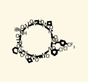 CC[C@H](C)[C@@H]1NC(=O)[C@H](C)N(C)C(=O)C[C@@H](C(=O)N2CCCCC2)N(C)C(=O)[C@H](C2CCC2)N(C)C(=O)C(C)(C)N(C)C(=O)CN(c2cccc(Cl)c2)C(=O)[C@H](CCc2ccc(C(F)(F)F)c(Cl)c2)NC(=O)CN(C)C(=O)[C@H](C2CCC2)N(C)C(=O)[C@@H]2CCN2C(=O)[C@H](C)N(C)C1=O